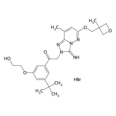 Br.Cc1cc(OCC2(C)COC2)nn2c(=N)n(CC(=O)c3cc(OCCO)cc(C(C)(C)C)c3)nc12